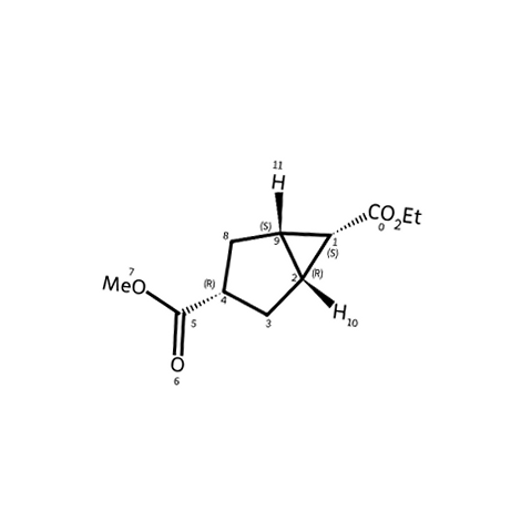 CCOC(=O)[C@@H]1[C@@H]2C[C@H](C(=O)OC)C[C@@H]21